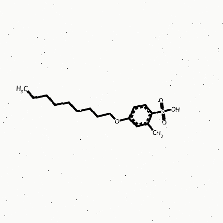 CCCCCCCCCOc1ccc(S(=O)(=O)O)c(C)c1